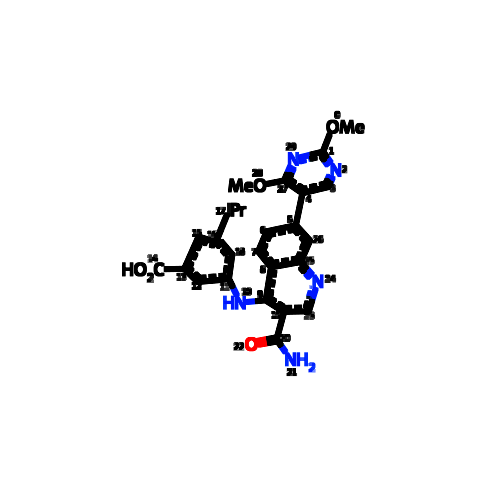 COc1ncc(-c2ccc3c(Nc4cc(C(=O)O)cc(C(C)C)c4)c(C(N)=O)cnc3c2)c(OC)n1